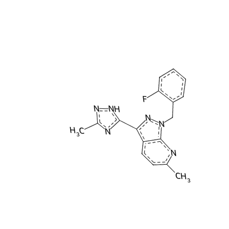 Cc1ccc2c(-c3nc(C)n[nH]3)nn(Cc3ccccc3F)c2n1